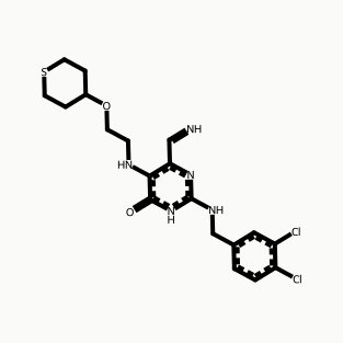 N=Cc1nc(NCc2ccc(Cl)c(Cl)c2)[nH]c(=O)c1NCCOC1CCSCC1